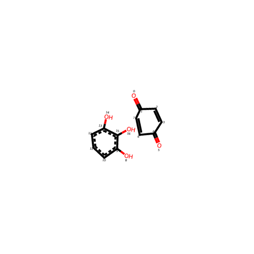 O=C1C=CC(=O)C=C1.Oc1cccc(O)c1O